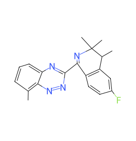 Cc1cccc2nc(C3=NC(C)(C)C(C)c4cc(F)ccc43)nnc12